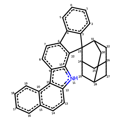 c1ccc2c(c1)-c1ccc3c([nH]c4ccc5ccccc5c43)c1C21C2CC3CC(C2)CC1C3